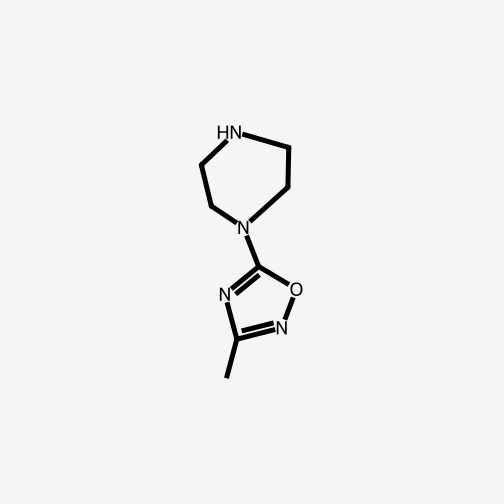 Cc1noc(N2CCNCC2)n1